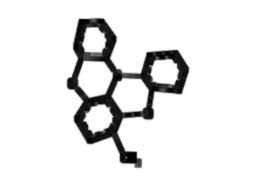 Cc1ccc2c3c1Oc1ccccc1B3c1ccccc1O2